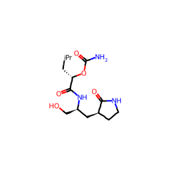 CC(C)C[C@H](OC(N)=O)C(=O)N[C@H](CO)C[C@@H]1CCNC1=O